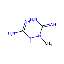 CN(NC(=N)N)C(=N)N